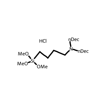 CCCCCCCCCCN(CCCCCCCCCC)CCCC[Si](OC)(OC)OC.Cl